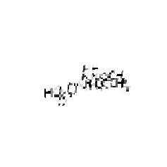 CC(C)(C)OC(=O)NC1=NCC(c2ccc(C(=O)O)cc2)CN1